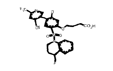 N#Cc1cc(C(F)(F)F)ncc1-c1cc(S(=O)(=O)N2CCC(F)c3ccccc32)c(OCCCC(=O)O)cc1Cl